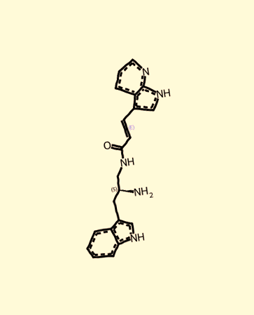 N[C@H](CNC(=O)/C=C/c1c[nH]c2ncccc12)Cc1c[nH]c2ccccc12